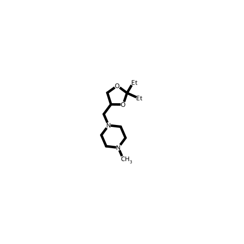 CCC1(CC)OCC(CN2CCN(C)CC2)O1